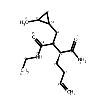 C=CCC[C@H](C(N)=O)C(CC1CC1C)C(=O)NCC